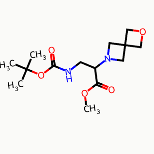 COC(=O)C(CNC(=O)OC(C)(C)C)N1CC2(COC2)C1